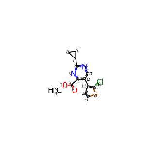 COC(=O)c1nc(C2CC2)ncc1-c1ccsc1Cl